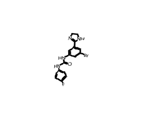 O=C(Nc1ccc(F)cc1)Nc1cc(Br)cc(C2=NCCN2)c1